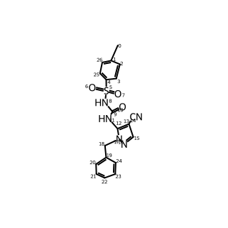 Cc1ccc(S(=O)(=O)NC(=O)Nc2c(C#N)cnn2Cc2ccccc2)cc1